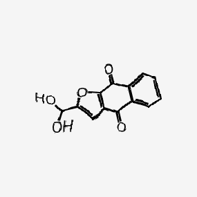 O=C1c2ccccc2C(=O)c2oc(C(O)O)cc21